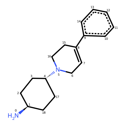 N[C@H]1CC[C@H](N2CC=C(c3ccccc3)CC2)CC1